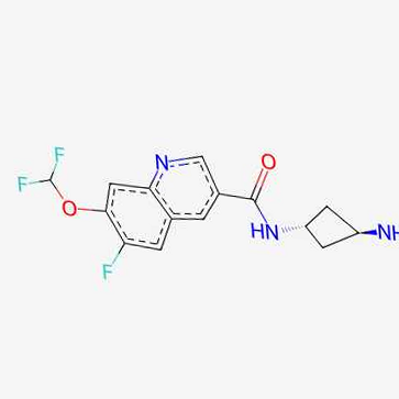 N[C@H]1C[C@H](NC(=O)c2cnc3cc(OC(F)F)c(F)cc3c2)C1